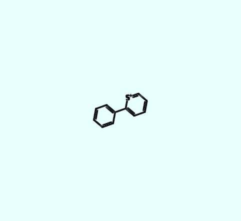 c1ccc(-c2cccc[s+]2)cc1